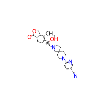 Cc1c([C@@H](O)CN2CCC3(CCN(c4ccc(C#N)cn4)CC3)C2)ccc2c1COC2=O